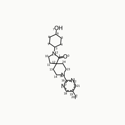 O=C1N(C2CCC(O)CC2)CCC12CCN(c1ncc(F)cn1)CC2